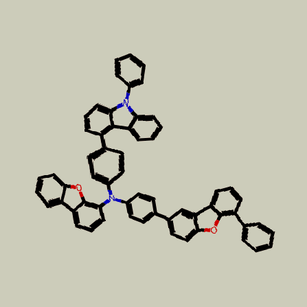 c1ccc(-c2cccc3c2oc2ccc(-c4ccc(N(c5ccc(-c6cccc7c6c6ccccc6n7-c6ccccc6)cc5)c5cccc6c5oc5ccccc56)cc4)cc23)cc1